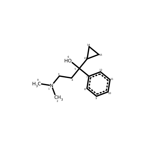 CN(C)CCC(O)(c1ccccc1)C1CC1